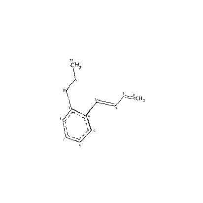 C=C/C=C/c1ccccc1CCC